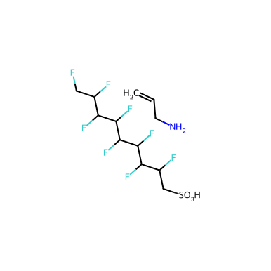 C=CCN.O=S(=O)(O)CC(F)C(F)C(F)C(F)C(F)C(F)C(F)CF